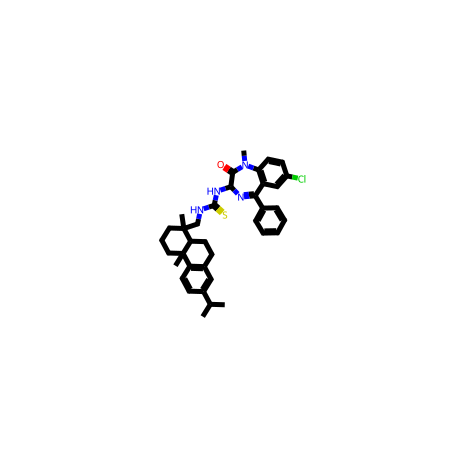 CC(C)c1ccc2c(c1)CCC1C(C)(CNC(=S)NC3N=C(c4ccccc4)c4cc(Cl)ccc4N(C)C3=O)CCCC21C